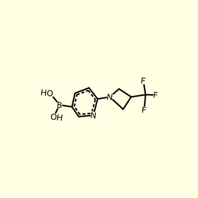 OB(O)c1ccc(N2CC(C(F)(F)F)C2)nc1